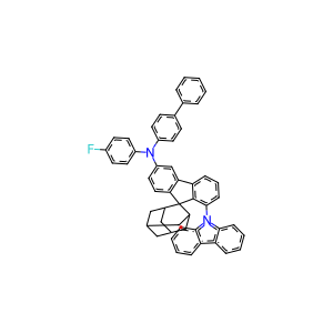 Fc1ccc(N(c2ccc(-c3ccccc3)cc2)c2ccc3c(c2)-c2cccc(-n4c5ccccc5c5ccccc54)c2C32C3CC4CC(C3)CC2C4)cc1